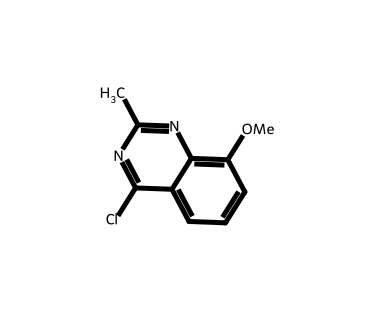 COc1cccc2c(Cl)nc(C)nc12